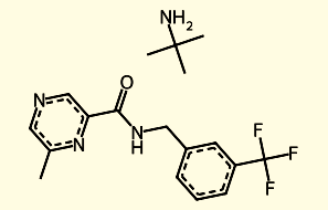 CC(C)(C)N.Cc1cncc(C(=O)NCc2cccc(C(F)(F)F)c2)n1